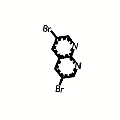 Brc1cnc2ncc(Br)cc2c1